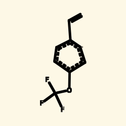 C=Cc1[c]cc(OC(F)(F)F)cc1